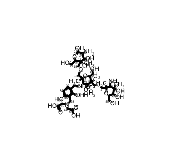 CC1(COCC2(C)C(CO)OC(C)(COCC3(C)C(CO)OC(O)C(N)[C@]3(C)O)C(NCc3ccc(O)c(CN(CC(=O)O)CC(=O)O)c3O)[C@]2(C)O)OC(CO)C(O)[C@@](C)(O)C1N